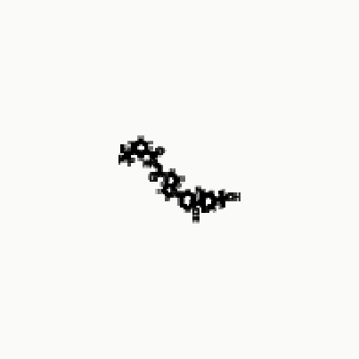 CC(C)(O)c1cnc(C2(O)CCC(N3CCC4C3CCN4C(=O)CNC(=O)c3cccc(C(F)(F)F)c3)CC2)c(F)c1